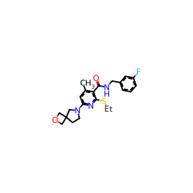 CCSc1nc(N2CCC3(COC3)C2)cc(C)c1C(=O)NCc1cccc(F)c1